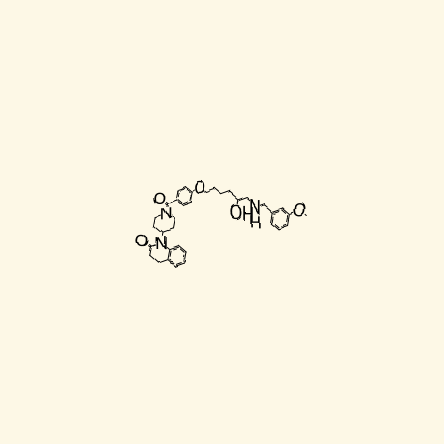 COc1cccc(CNCC(O)CCCCOc2ccc(C(=O)N3CCC(N4C(=O)CCc5ccccc54)CC3)cc2)c1